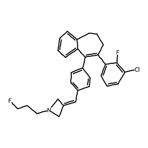 FCCCN1CC(=Cc2ccc(C3=C(c4cccc(Cl)c4F)CCCc4ccccc43)cc2)C1